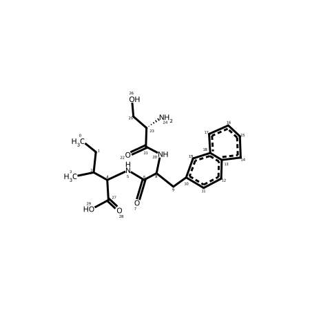 CCC(C)C(NC(=O)C(Cc1ccc2ccccc2c1)NC(=O)[C@@H](N)CO)C(=O)O